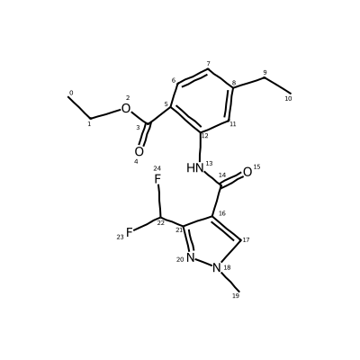 CCOC(=O)c1ccc(CC)cc1NC(=O)c1cn(C)nc1C(F)F